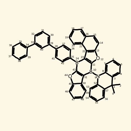 CC1(C)c2ccccc2N(B2c3oc4ccc5ccccc5c4c3B(c3ccc(-c4cccc(-c5ccccc5)c4)cc3)c3oc4ccccc4c32)c2ccccc21